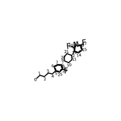 CCCCCc1ccc([C@H]2CC[C@H](c3ccc(F)nc3F)CC2)c(F)c1